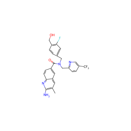 Cc1cc2cc(C(=O)N(Cc3ccc(CO)c(F)c3)Cc3ccc(C(F)(F)F)cn3)ccc2nc1N